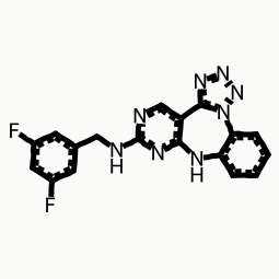 Fc1cc(F)cc(CNc2ncc3c(n2)Nc2ccccc2-n2nnnc2-3)c1